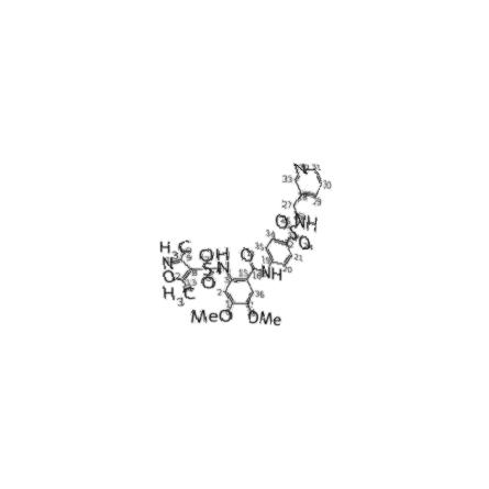 COc1cc(NS(=O)(=O)c2c(C)noc2C)c(C(=O)Nc2ccc(S(=O)(=O)NCc3cccnc3)cc2)cc1OC